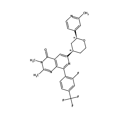 Cc1cc([C@@H]2C[C@H](c3cc4c(=O)n(C)c(C)nc4c(-c4ccc(C(F)(F)F)cc4F)n3)CCO2)ccn1